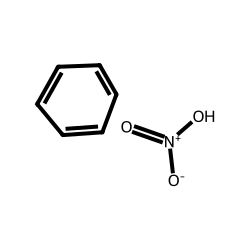 O=[N+]([O-])O.c1ccccc1